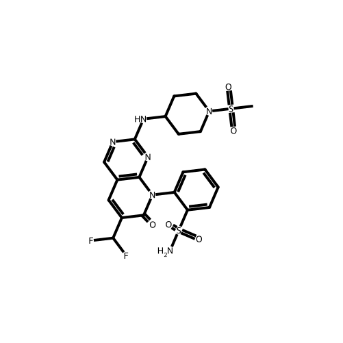 CS(=O)(=O)N1CCC(Nc2ncc3cc(C(F)F)c(=O)n(-c4ccccc4S(N)(=O)=O)c3n2)CC1